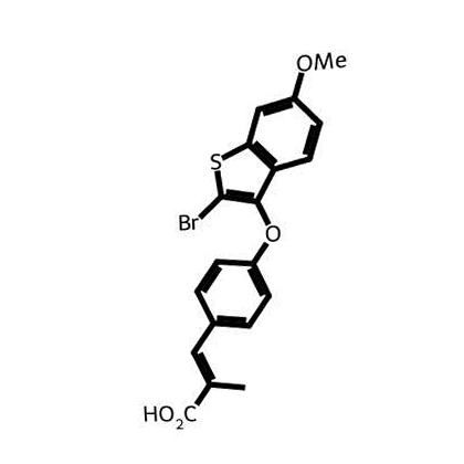 COc1ccc2c(Oc3ccc(/C=C(\C)C(=O)O)cc3)c(Br)sc2c1